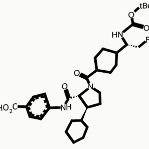 CC(C)(C)OC(=O)N[C@H](CF)C1CCC(C(=O)N2CC[C@@H](C3CCCCC3)[C@@H]2C(=O)Nc2ccc(C(=O)O)cc2)CC1